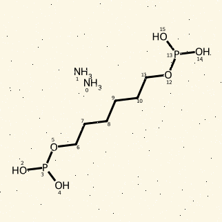 N.N.OP(O)OCCCCCCOP(O)O